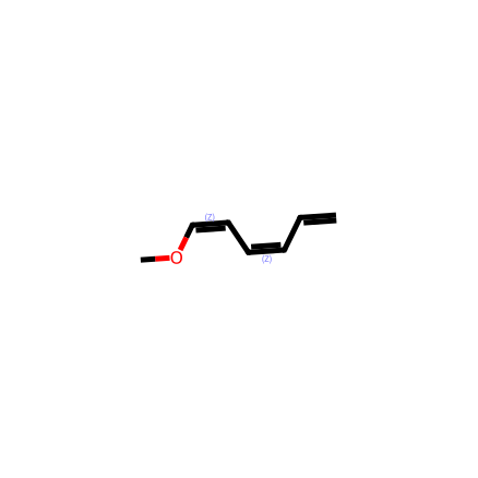 C=C/C=C\C=C/OC